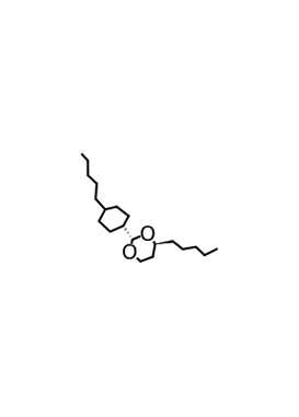 CCCCCC1CCC([C@H]2OCC[C@H](CCCCC)O2)CC1